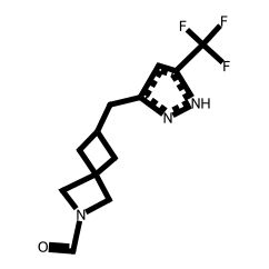 O=CN1CC2(CC(Cc3cc(C(F)(F)F)[nH]n3)C2)C1